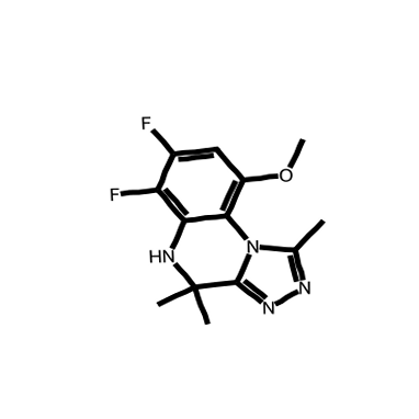 COc1cc(F)c(F)c2c1-n1c(C)nnc1C(C)(C)N2